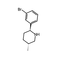 C[C@@H]1CC[C@@H](c2cccc(Br)c2)NC1